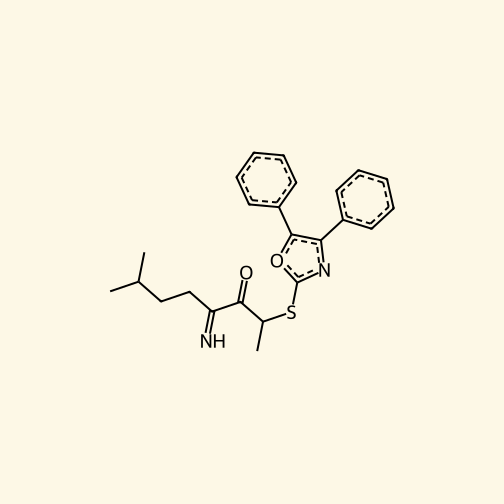 CC(C)CCC(=N)C(=O)C(C)Sc1nc(-c2ccccc2)c(-c2ccccc2)o1